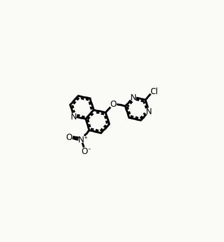 O=[N+]([O-])c1ccc(Oc2ccnc(Cl)n2)c2cccnc12